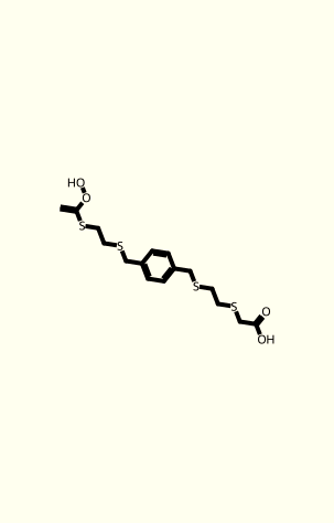 C=C(OO)SCCSCc1ccc(CSCCSCC(=O)O)cc1